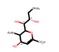 CC(=O)NC[C@H](O)[C@H](O)C1OC(C(=O)O)=C[C@@H](O)C1NC(C)=O